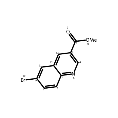 COC(=O)c1cnc2ccc(Br)cc2c1